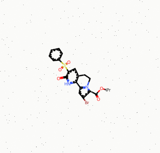 CC(C)OC(=O)c1c(Br)cc2n1CCc1cc(S(=O)(=O)c3ccccc3)c(=O)[nH]c1-2